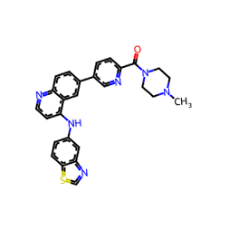 CN1CCN(C(=O)c2ccc(-c3ccc4nccc(Nc5ccc6scnc6c5)c4c3)cn2)CC1